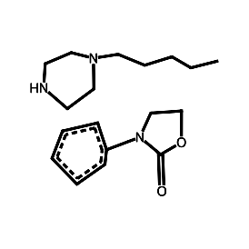 CCCCCN1CCNCC1.O=C1OCCN1c1ccccc1